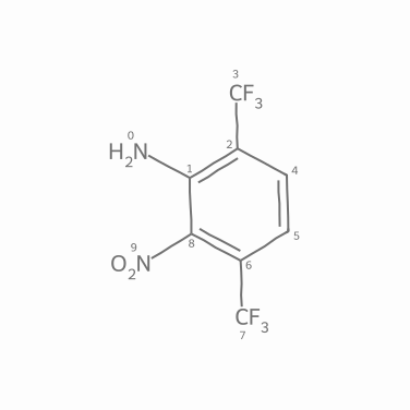 Nc1c(C(F)(F)F)ccc(C(F)(F)F)c1[N+](=O)[O-]